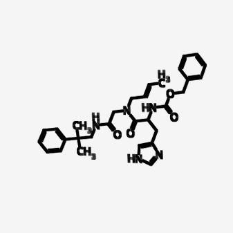 CC=CCN(CC(=O)NCC(C)(C)c1ccccc1)C(=O)C(Cc1c[nH]cn1)NC(=O)OCc1ccccc1